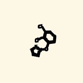 Clc1cccc(On2cc[c]n2)c1Cl